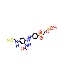 CC(=O)Nc1cc(NCS)ccc1/N=N/c1ccc(S(=O)(=O)CCOSO)cc1